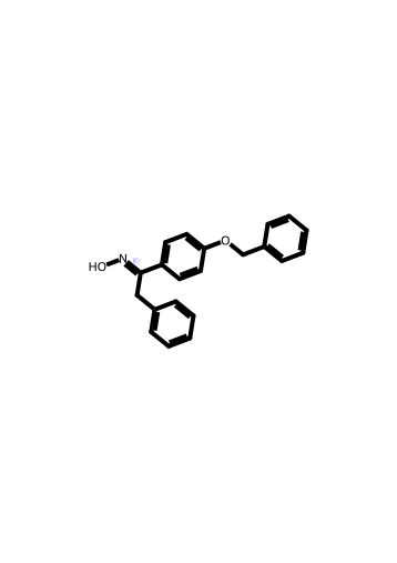 O/N=C(\Cc1ccccc1)c1ccc(OCc2ccccc2)cc1